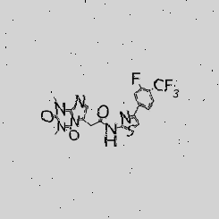 Cn1c(=O)n(C)c2ncc(CC(=O)Nc3nc(-c4ccc(C(F)(F)F)c(F)c4)cs3)n2c1=O